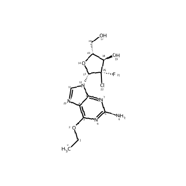 CCOc1nc(N)nc2c1ncn2[C@@H]1O[C@H](CO)[C@@H](O)[C@@]1(F)Cl